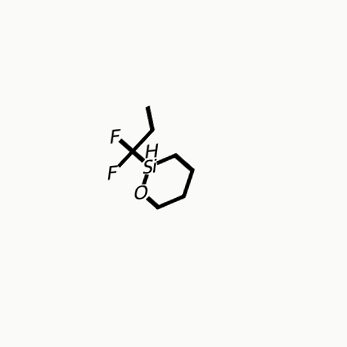 CCC(F)(F)[SiH]1CCCCO1